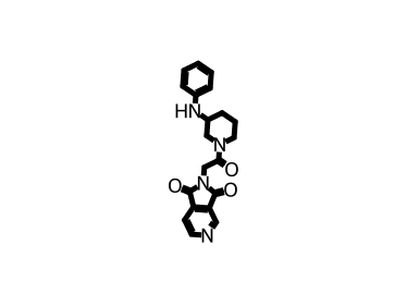 O=C(CN1C(=O)c2ccncc2C1=O)N1CCCC(Nc2ccccc2)C1